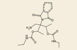 CCNC(=O)OC(C)C(CN)(C(C)OC(=O)NCC)N1C(=O)c2ccccc2C1=O